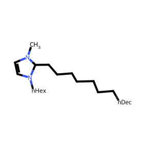 CCCCCCCCCCCCCCCCCC1N(C)C=CN1CCCCCC